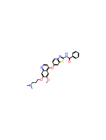 COc1cc2c(Oc3ccc4nc(NC(=O)c5ccccc5)sc4c3)ccnc2cc1OCCCN(C)C